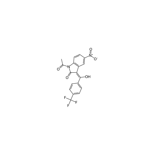 CC(=O)N1C(=O)C(=C(O)c2ccc(C(F)(F)F)cc2)c2cc([N+](=O)[O-])ccc21